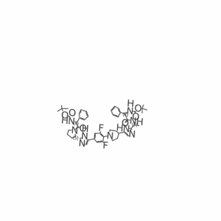 C[C@H](NC(=O)[C@H](NC(=O)OC(C)(C)C)c1ccccc1)c1ncc(C2CCN(c3c(F)cc(-c4cnc([C@@H]5CCCN5C(=O)[C@H](NC(=O)OC(C)(C)C)c5ccccc5)[nH]4)cc3F)CC2)[nH]1